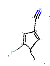 CC1C=C(C#N)C=C1F